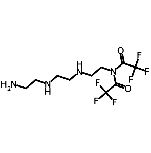 NCCNCCNCCN(C(=O)C(F)(F)F)C(=O)C(F)(F)F